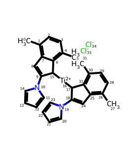 Cc1ccc(C)c2c1C=C(n1cccc1)[CH]2[Ti+2][CH]1C(n2cccc2)=Cc2c(C)ccc(C)c21.[Cl-].[Cl-]